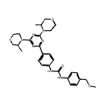 COCc1ccc(NC(=O)Nc2ccc(-c3nc(N4CCOCC4C)nc(N4CCOCC4C)n3)cc2)cc1